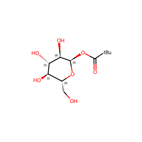 CC(C)(C)C(=O)O[C@H]1O[C@H](CO)[C@@H](O)[C@H](O)[C@H]1O